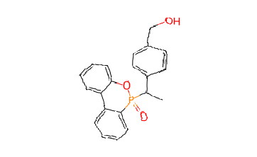 CC(c1ccc(CO)cc1)P1(=O)Oc2ccccc2-c2ccccc21